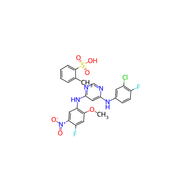 COc1cc(F)c([N+](=O)[O-])cc1Nc1cc(Nc2ccc(F)c(Cl)c2)ncn1.Cc1ccccc1S(=O)(=O)O